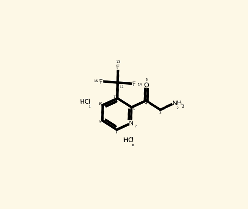 Cl.Cl.NCC(=O)c1ncccc1C(F)(F)F